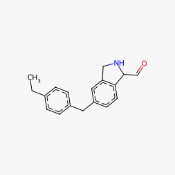 CCc1ccc(Cc2ccc3c(c2)CNC3C=O)cc1